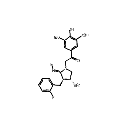 CCC[C@H]1CN(CC(=O)c2cc(C(C)(C)C)c(O)c(C(C)(C)C)c2)/C(=N\Br)[C@@H]1Cc1ccccc1F